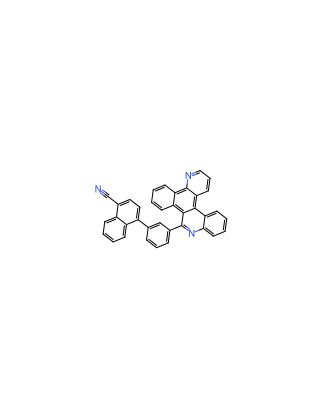 N#Cc1ccc(-c2cccc(-c3nc4ccccc4c4c5cccnc5c5ccccc5c34)c2)c2ccccc12